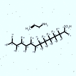 C=CCN.O=S(=O)(O)C(F)C(F)(F)C(F)(F)C(F)(F)C(F)(F)C(F)(F)C(F)C(F)C(F)C(F)C(F)C(F)F